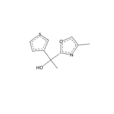 Cc1coc(C(C)(O)c2ccsc2)n1